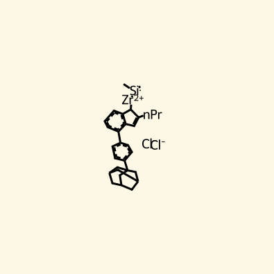 CCCC1=Cc2c(-c3ccc(C45CC6CC(CC(C6)C4)C5)cc3)cccc2[CH]1[Zr+2][Si](C)C.[Cl-].[Cl-]